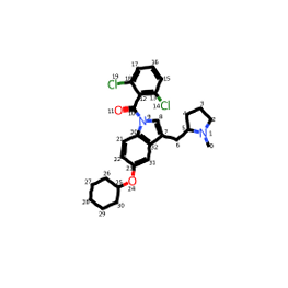 CN1CCCC1Cc1cn(C(=O)c2c(Cl)cccc2Cl)c2ccc(OC3CCCCC3)cc12